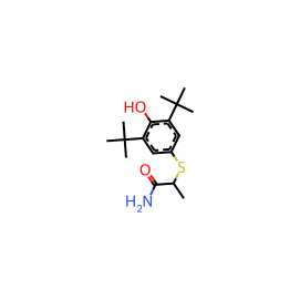 CC(Sc1cc(C(C)(C)C)c(O)c(C(C)(C)C)c1)C(N)=O